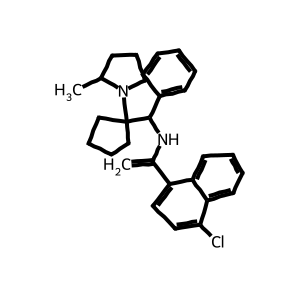 C=C(NC(c1ccccc1)C1(N2CCCC2C)CCCC1)c1ccc(Cl)c2ccccc12